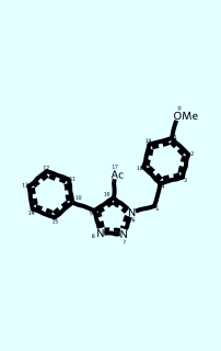 COc1ccc(Cn2nnc(-c3ccccc3)c2C(C)=O)cc1